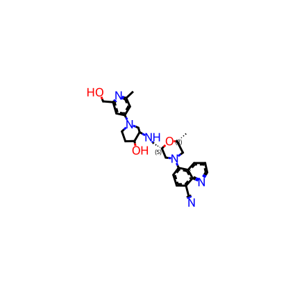 Cc1cc(N2CCC(O)C(NC[C@H]3CN(c4ccc(C#N)c5ncccc45)C[C@@H](C)O3)C2)cc(CO)n1